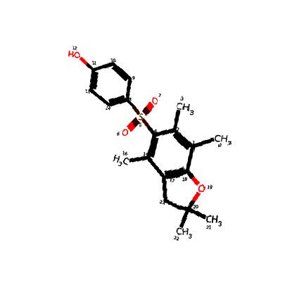 Cc1c(C)c(S(=O)(=O)c2ccc(O)cc2)c(C)c2c1OC(C)(C)C2